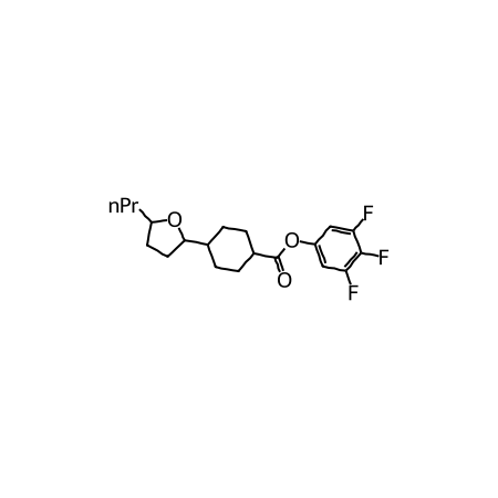 CCCC1CCC(C2CCC(C(=O)Oc3cc(F)c(F)c(F)c3)CC2)O1